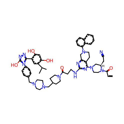 C=CC(=O)N1CCN(c2nc(NCCC(=O)N3CCC(CN4CCN(Cc5ccc(-n6c(O)nnc6-c6cc(C(C)C)c(O)cc6O)cc5)CC4)CC3)nc3c2CCN(c2cccc4ccccc24)C3)C[C@H]1CC#N